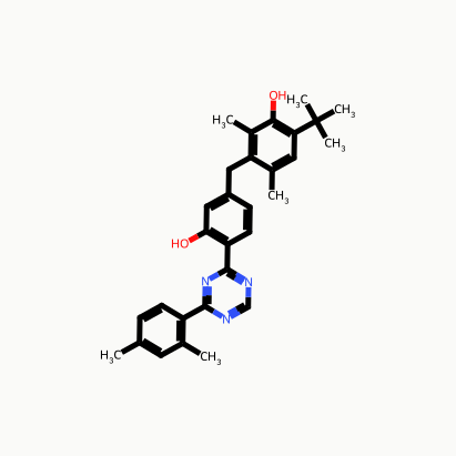 Cc1ccc(-c2ncnc(-c3ccc(Cc4c(C)cc(C(C)(C)C)c(O)c4C)cc3O)n2)c(C)c1